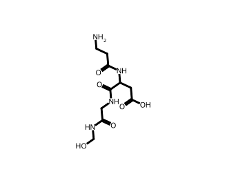 NCCC(=O)NC(CC(=O)O)C(=O)NCC(=O)NCO